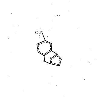 O=[N+]([O-])c1ccc2c(c1)-c1ccc(s1)[C]2